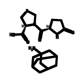 NC12CC3CC(CC(C3)C1)C2.O=C1CC[C@@H](C(=O)N2CSC[C@H]2C(=O)O)N1